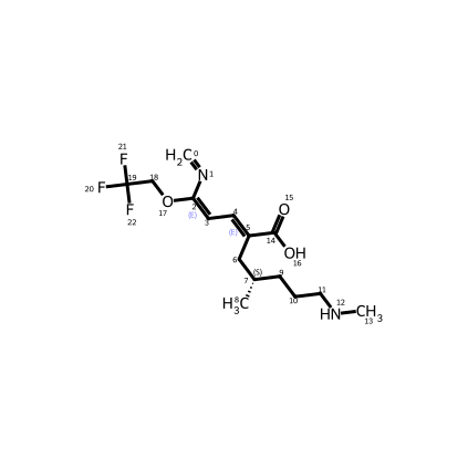 C=N/C(=C\C=C(/C[C@@H](C)CCCNC)C(=O)O)OCC(F)(F)F